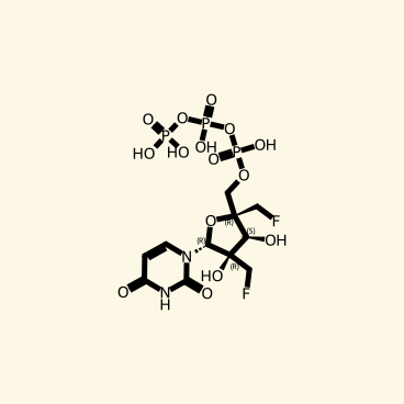 O=c1ccn([C@@H]2O[C@](CF)(COP(=O)(O)OP(=O)(O)OP(=O)(O)O)[C@@H](O)[C@]2(O)CF)c(=O)[nH]1